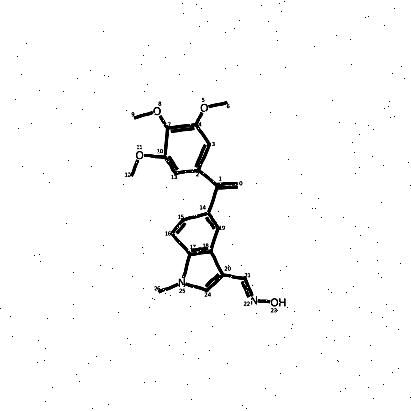 C=C(c1cc(OC)c(OC)c(OC)c1)c1ccc2c(c1)c(C=NO)cn2C